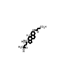 C=C(CCC(C)(O)CC)[C@H]1CCC2C3CC=C4C[C@@H](NC(=O)CCC(=O)O)CC[C@]4(C)C3CC[C@@]21C